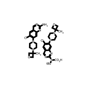 CC(C)(C)N(C(=O)O)c1ncc2cc(Cl)c(N3CCN(C4(C)COC4)CC3)cc2n1.CC1(N2CCN(c3cc4nc(N)ncc4cc3Cl)CC2)COC1